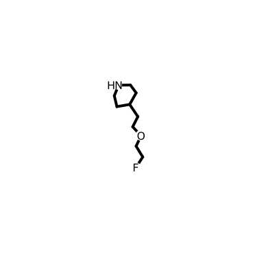 FCCOCCC1CCNCC1